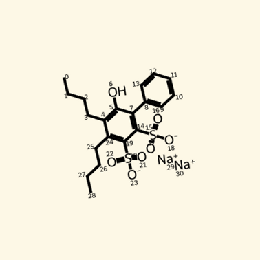 CCCCc1c(O)c(-c2ccccc2)c(S(=O)(=O)[O-])c(S(=O)(=O)[O-])c1CCCC.[Na+].[Na+]